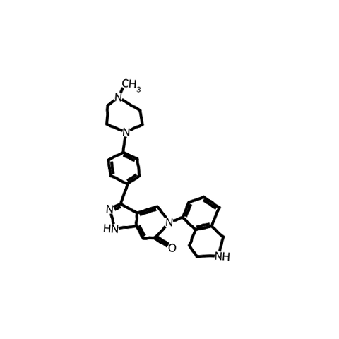 CN1CCN(c2ccc(-c3n[nH]c4cc(=O)n(-c5cccc6c5CCNC6)cc34)cc2)CC1